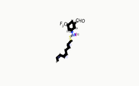 C/C=C\C=C/C/C=C/CSN(I)C1=CC(C(F)(F)F)CC(C=O)=C1